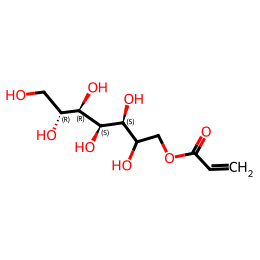 C=CC(=O)OCC(O)[C@H](O)[C@@H](O)[C@H](O)[C@H](O)CO